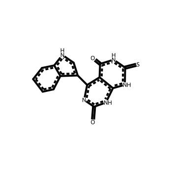 O=c1nc(-c2c[nH]c3ccccc23)c2c(=O)[nH]c(=S)[nH]c2[nH]1